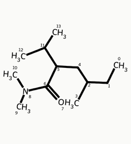 CCC(C)CC(C(=O)N(C)C)C(C)C